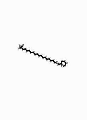 FC(F)(F)CCCCCCCCCCCCCCCCCOCC1CCCCO1